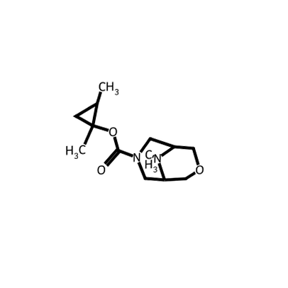 CC1CC1(C)OC(=O)N1CC2COCC(C1)N2C